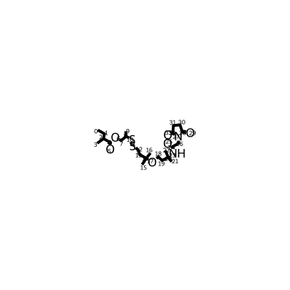 CCC(C)C(=O)OCC(C)SSCCC(C)(C)OCCC(C)(C)NC(=O)CN1C(=O)CCC1=O